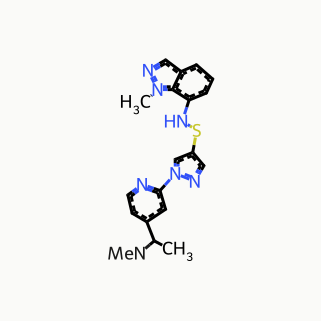 CNC(C)c1ccnc(-n2cc(SNc3cccc4cnn(C)c34)cn2)c1